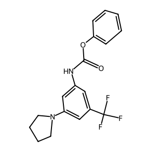 O=C(Nc1cc(N2CCCC2)cc(C(F)(F)F)c1)Oc1ccccc1